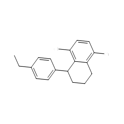 CCc1ccc(C2CCCc3c(Br)ccc(Cl)c32)cc1